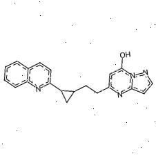 Oc1cc(CCC2CC2c2ccc3ccccc3n2)nc2ccnn12